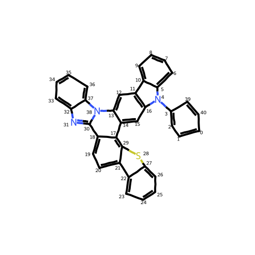 c1ccc(-n2c3ccccc3c3cc4c(cc32)c2c(ccc3c5ccccc5sc32)c2nc3ccccc3n42)cc1